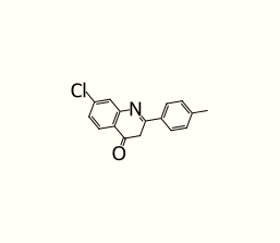 Cc1ccc(C2=Nc3cc(Cl)ccc3C(=O)C2)cc1